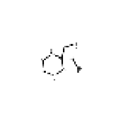 SCC1(CS)CSCCS1